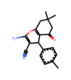 Cc1ccc(C2C(C#N)=C(N)OC3=C2C(=O)CC(C)(C)C3)cc1